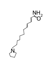 NC(=O)C=CC=CCCCCCCCN1CCCC1